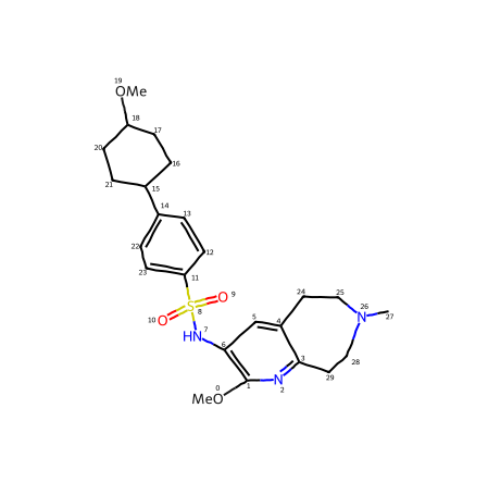 COc1nc2c(cc1NS(=O)(=O)c1ccc(C3CCC(OC)CC3)cc1)CCN(C)CC2